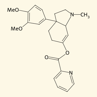 COc1ccc(C23CCC(OC(=O)c4ccccn4)=CC2N(C)CC3)cc1OC